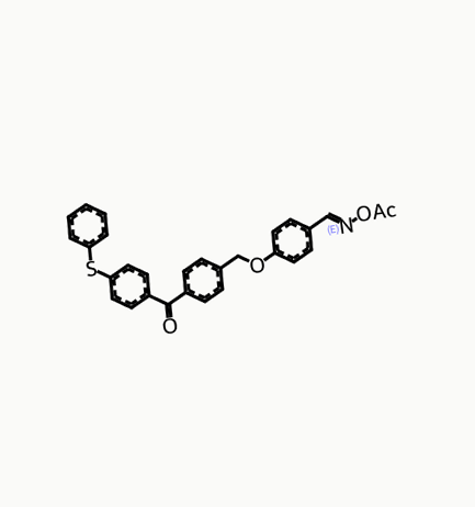 CC(=O)O/N=C/c1ccc(OCc2ccc(C(=O)c3ccc(Sc4ccccc4)cc3)cc2)cc1